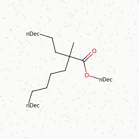 CCCCCCCCCCCCCCC(C)(CCCCCCCCCCCC)C(=O)OCCCCCCCCCC